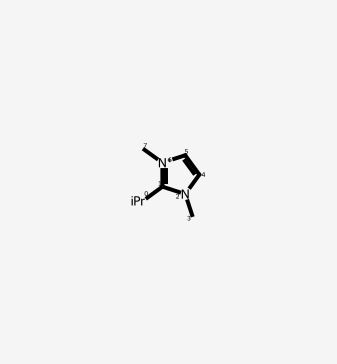 CC(C)c1n(C)cc[n+]1C